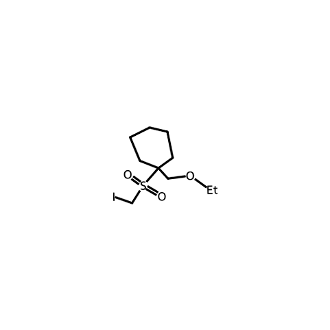 CCOCC1(S(=O)(=O)CI)CCCCC1